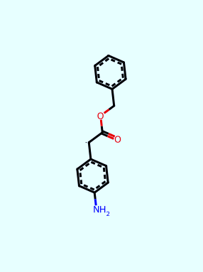 Nc1ccc([CH]C(=O)OCc2ccccc2)cc1